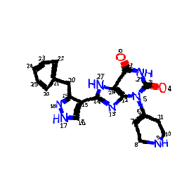 O=c1[nH]c(=O)n(C2CCNCC2)c2nc(-c3c[nH]nc3Cc3ccccc3)[nH]c12